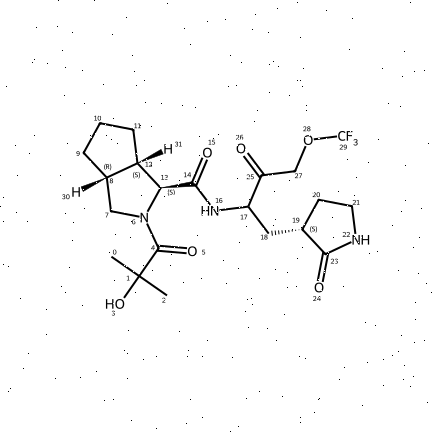 CC(C)(O)C(=O)N1C[C@@H]2CCC[C@@H]2[C@H]1C(=O)NC(C[C@@H]1CCNC1=O)C(=O)COC(F)(F)F